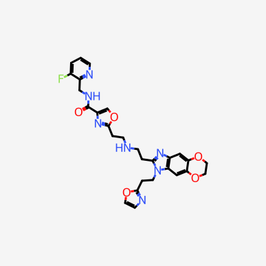 O=C(NCc1ncccc1F)c1coc(CCNCCc2nc3cc4c(cc3n2CCc2ncco2)OCCO4)n1